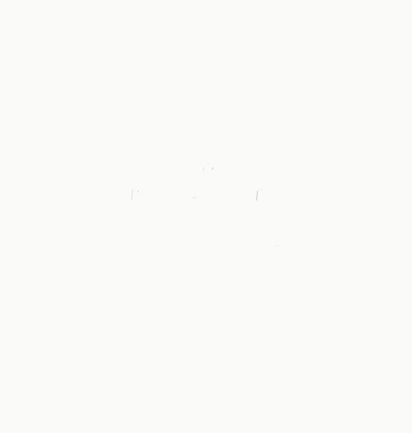 O=C1c2c(ccc(F)c2F)CC1Br